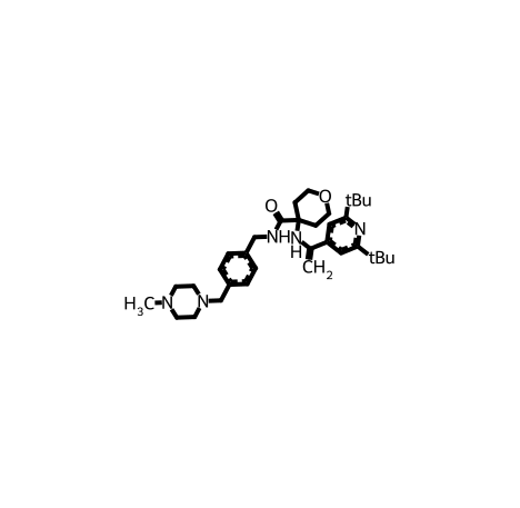 C=C(NC1(C(=O)NCc2ccc(CN3CCN(C)CC3)cc2)CCOCC1)c1cc(C(C)(C)C)nc(C(C)(C)C)c1